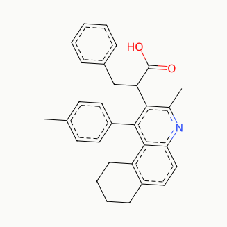 Cc1ccc(-c2c(C(Cc3ccccc3)C(=O)O)c(C)nc3ccc4c(c23)CCCC4)cc1